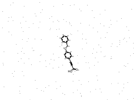 O=C(O)C#Cc1ccc(OCc2ccccc2)cc1